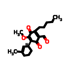 CCCCCC1=C(C=O)C(=O)C([C@@H]2C=C(C)CCC2)=C(OC)C1=O